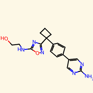 Nc1ncc(-c2ccc(C3(c4noc(NCCO)n4)CCC3)cc2)cn1